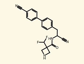 N#Cc1ccc(-c2ccc(CC(C#N)NC(=O)C3(C(F)F)CNC3)cc2)cc1